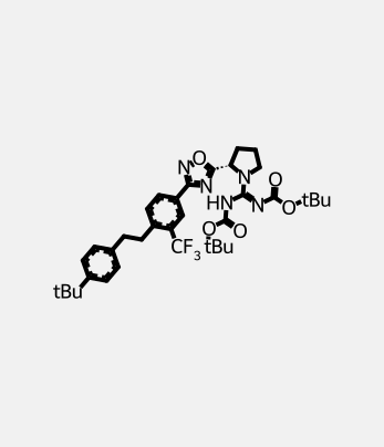 CC(C)(C)OC(=O)/N=C(/NC(=O)OC(C)(C)C)N1CCC[C@H]1c1nc(-c2ccc(CCc3ccc(C(C)(C)C)cc3)c(C(F)(F)F)c2)no1